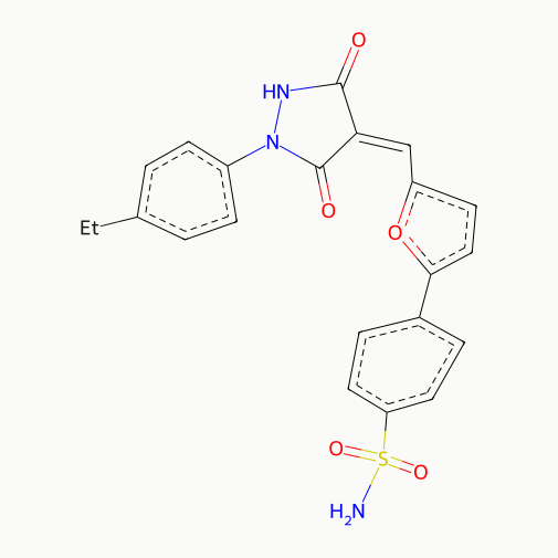 CCc1ccc(N2NC(=O)C(=Cc3ccc(-c4ccc(S(N)(=O)=O)cc4)o3)C2=O)cc1